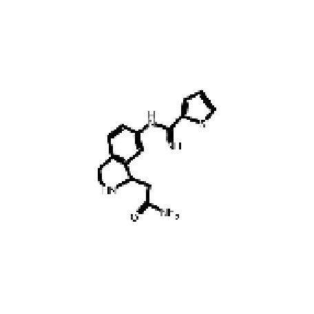 N=C(Nc1ccc2c(c1)C(CC(N)=O)NCC2)c1cccs1